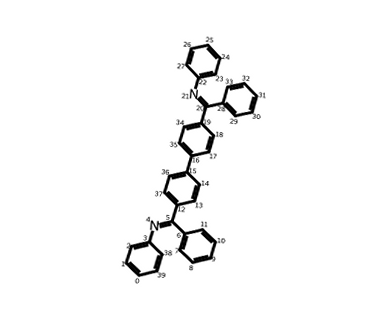 c1ccc(/N=C(\c2ccccc2)c2ccc(-c3ccc(/C(=N/c4ccccc4)c4ccccc4)cc3)cc2)cc1